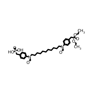 CCOP(=O)(Cc1ccc(N(C=O)CCCCCCCCCCCN(C=O)c2ccc(CP(=O)(O)O)cc2)cc1)OCC